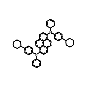 C1=CCC(N(c2ccc(C3CCCCC3)cc2)c2ccc3ccc4c(N(c5ccccc5)c5ccc(C6CCCCC6)cc5)ccc5ccc2c3c54)C=C1